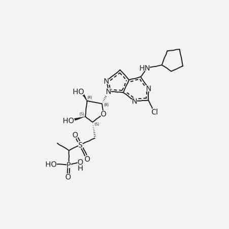 CC(P(=O)(O)O)S(=O)(=O)C[C@H]1O[C@@H](n2ncc3c(NC4CCCC4)nc(Cl)nc32)[C@H](O)[C@@H]1O